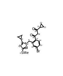 CSc1nc(C2CC2)n(Cc2cc(Br)ccc2C(=O)CC(=O)C2CC2)n1